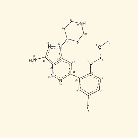 COCOc1ccc(F)cc1-c1cc2c(nn1)c(N)nn2C1CCNCC1